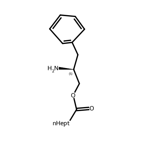 CCCCCCCC(=O)OC[C@@H](N)Cc1ccccc1